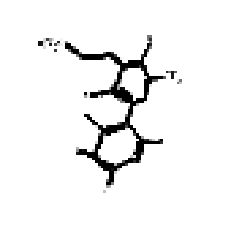 Cc1cc(F)c(C)c(C)c1-c1cc(C(F)(F)F)c(F)c(CCC(=O)O)c1F